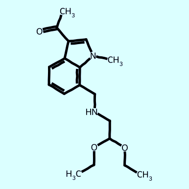 CCOC(CNCc1cccc2c(C(C)=O)cn(C)c12)OCC